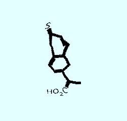 CC(C(=O)O)C1=CC=C2CC(=S)C=CC2C1